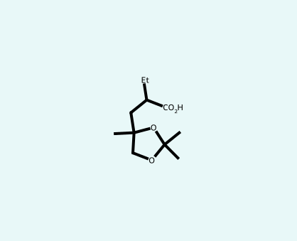 CCC(CC1(C)COC(C)(C)O1)C(=O)O